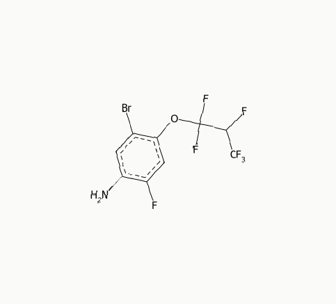 Nc1cc(Br)c(OC(F)(F)C(F)C(F)(F)F)cc1F